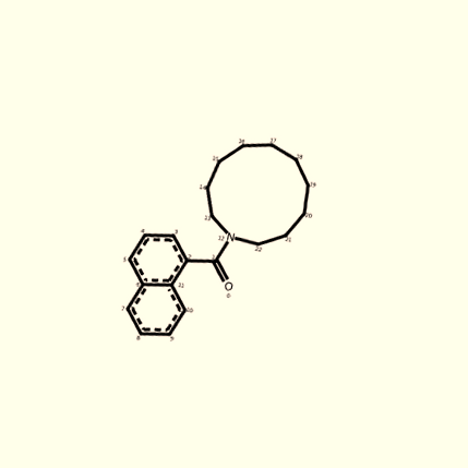 O=C(c1cccc2ccccc12)N1CCCCCCCCCC1